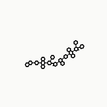 c1ccc(-c2cc(-c3c4ccccc4c(-c4ccc(-c5ccc(-c6ccc7oc8cc(-c9c%10ccccc%10c(-c%10ccc(-c%11ccc%12ccccc%12c%11)cc%10)c%10ccccc9%10)cc(-c9ccccc9)c8c7c6)c6ccccc56)cc4)c4ccccc34)cc3oc4ccccc4c23)cc1